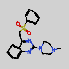 CN1CCN(c2nc(CS(=O)(=O)c3ccccc3)c3ccccc3n2)CC1